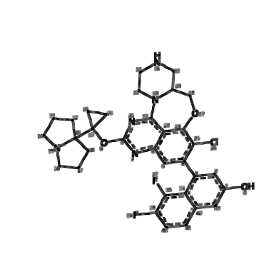 Oc1cc(-c2cc3nc(OC4(C56CCCN5CCC6)CC4)nc4c3c(c2Cl)OCC2CNCCN42)c2c(F)c(F)ccc2c1